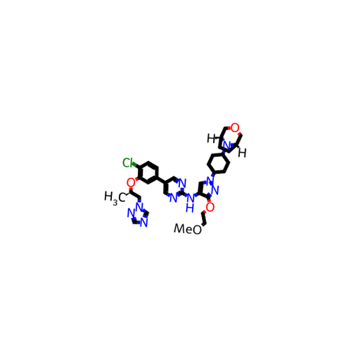 COCCOc1nn(C2CCC(N3[C@@H]4CC[C@H]3COC4)CC2)cc1Nc1ncc(-c2ccc(Cl)c(O[C@@H](C)Cn3cncn3)c2)cn1